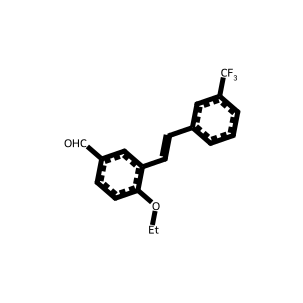 CCOc1ccc(C=O)cc1/C=C/c1cccc(C(F)(F)F)c1